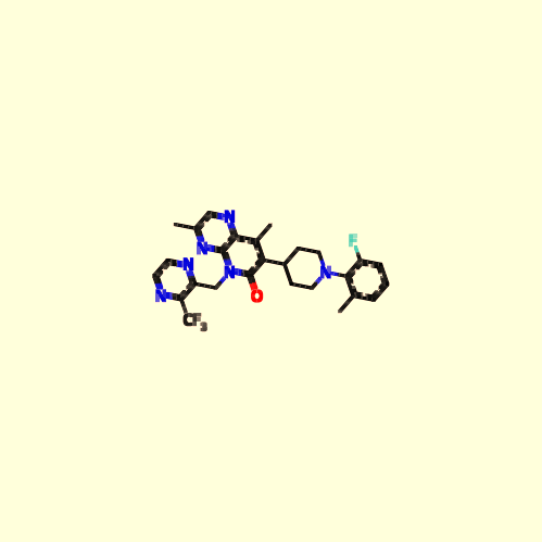 Cc1cnc2c(C)c(C3CCN(c4c(C)cccc4F)CC3)c(=O)n(Cc3nccnc3C(F)(F)F)c2n1